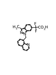 Cc1nn(Cc2cccc3cccnc23)c2cc(C(F)(F)C(=O)O)ccc12